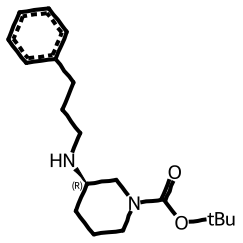 CC(C)(C)OC(=O)N1CCC[C@@H](NCCCc2ccccc2)C1